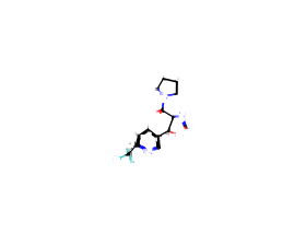 O=C(C1N=COC1c1ccc(C(F)(F)F)nc1)N1CCCC1